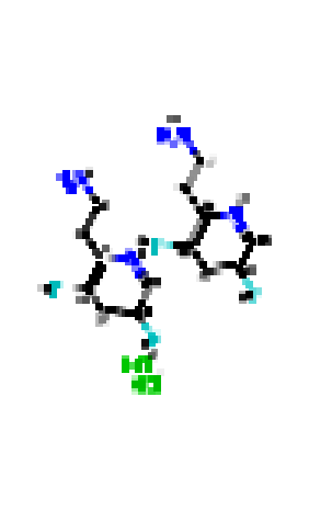 Cl.Cl.NCCc1ncc(F)cc1F.NCCc1ncc(F)cc1F